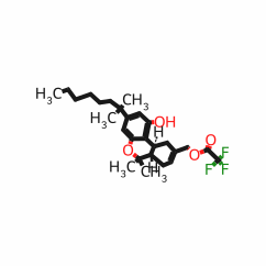 CCCCCCC(C)(C)c1cc(O)c2c(c1)OC(C)(C)[C@H]1CC=C(COC(=O)C(F)(F)F)C[C@H]21